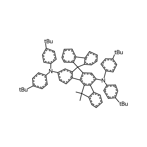 CC(C)(C)c1ccc(N(c2ccc(C(C)(C)C)cc2)c2ccc3c(c2)C2(c4ccccc4-c4ccccc42)c2cc(N(c4ccc(C(C)(C)C)cc4)c4ccc(C(C)(C)C)cc4)c4c(c2-3)C(C)(C)c2ccccc2-4)cc1